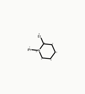 CCC1CCCCN1C(C)C